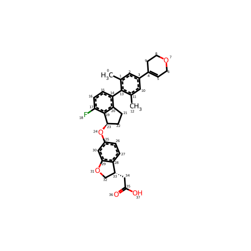 Cc1cc(C2=CCOCC2)cc(C)c1-c1ccc(F)c2c1CC[C@H]2Oc1ccc2c(c1)OC[C@H]2CC(=O)O